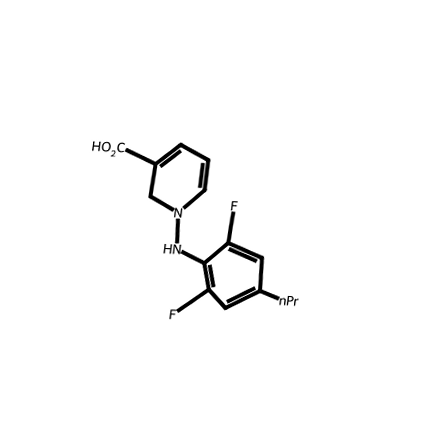 CCCc1cc(F)c(NN2C=CC=C(C(=O)O)C2)c(F)c1